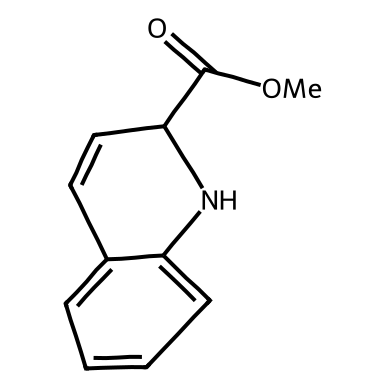 COC(=O)C1C=Cc2ccccc2N1